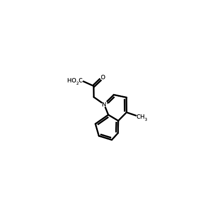 Cc1cc[n+](CC(=O)C(=O)O)c2ccccc12